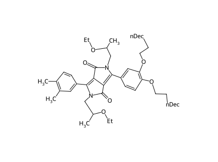 CCCCCCCCCCCCOc1ccc(C2=C3C(=O)N(CC(C)OCC)C(c4ccc(C)c(C)c4)=C3C(=O)N2CC(C)OCC)cc1OCCCCCCCCCCCC